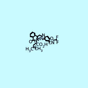 CN(C)CC(C(=O)O)n1nc(Cc2nc3cc(OCC(F)F)c(C#N)cc3[nH]2)c2ccccc2c1=O